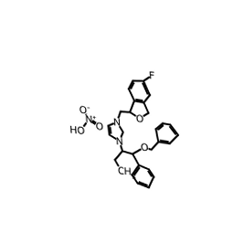 CCC(C(OCc1ccccc1)c1ccccc1)N1C=CN(CC2OCc3cc(F)ccc32)C1.O=[N+]([O-])O